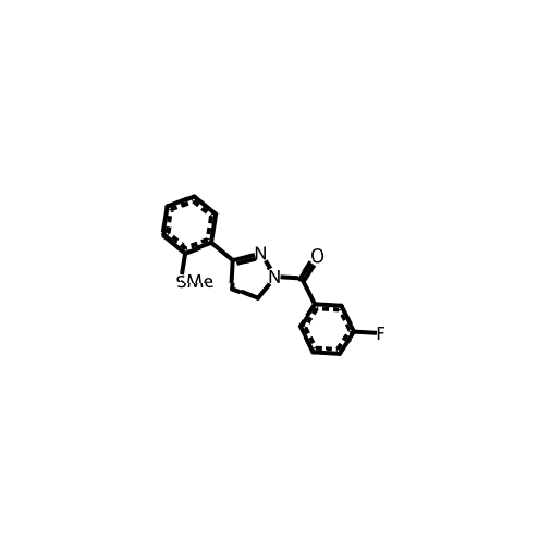 CSc1ccccc1C1=NN(C(=O)c2cccc(F)c2)CC1